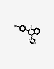 Brc1ccc(C2CC(n3cncn3)c3ccccc3N2)cc1